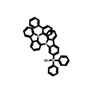 CC(C)(C)[Si](c1ccccc1)(c1ccccc1)c1ccc2c3ccccc3n(-c3cccc4c5ccccc5n(-c5ccccc5-c5ccccc5)c34)c2c1